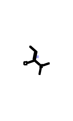 C/C=C(\Cl)N(C)C